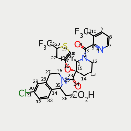 CCC[C@H]1N(C(=O)c2ncccc2C(F)(F)F)CCC[C@]1(Oc1csc(C(F)(F)F)c1)C(=O)N1CCc2cc(Cl)ccc2C1CC(=O)O